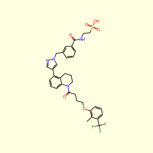 Cc1c(OCCCC(=O)N2CCCc3c(-c4cnn(Cc5cccc(C(=O)NCCS(=O)(=O)O)c5)c4)cccc32)cccc1C(F)(F)F